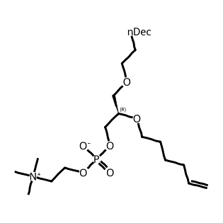 C=CCCCCO[C@H](COCCCCCCCCCCCC)COP(=O)([O-])OCC[N+](C)(C)C